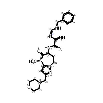 CN1C(=O)[C@@H](NC(=O)C(=N)/N=C\NCc2ccccc2)CCn2nc(CN3CCOCC3)cc21